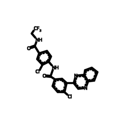 O=C(NCC(F)(F)F)c1ccc(NC(=O)c2ccc(Cl)c(-c3cnc4ccccc4n3)c2)c(Cl)c1